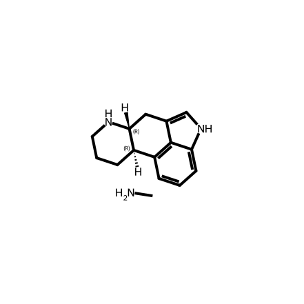 CN.c1cc2c3c(c[nH]c3c1)C[C@H]1NCCC[C@H]21